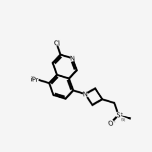 CC(C)c1ccc(N2CC(C[S@@+](C)[O-])C2)c2cnc(Cl)cc12